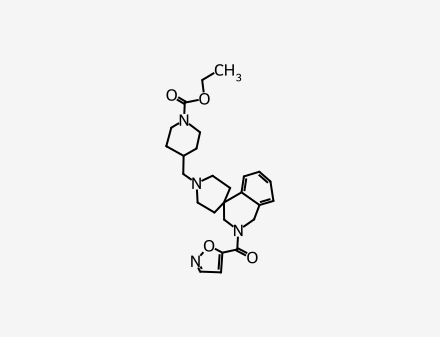 CCOC(=O)N1CCC(CN2CCC3(CC2)CN(C(=O)c2ccno2)Cc2ccccc23)CC1